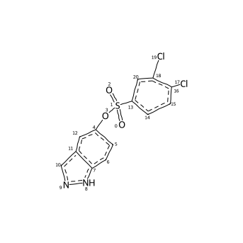 O=S(=O)(Oc1ccc2[nH]ncc2c1)c1ccc(Cl)c(Cl)c1